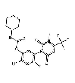 Cn1c(C(F)(F)F)cc(=O)n(-c2cc(OC(=O)NC3CCCCC3)c(Cl)cc2F)c1=O